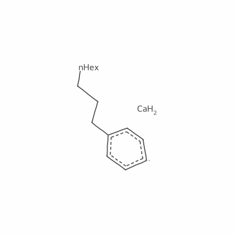 CCCCCCCCCc1cc[c]cc1.[CaH2]